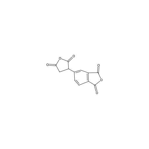 O=C1CC(c2ccc3c(c2)C(=O)OC3=O)C(=O)O1